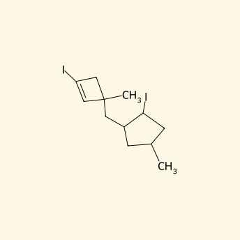 CC1CC(I)C(CC2(C)C=C(I)C2)C1